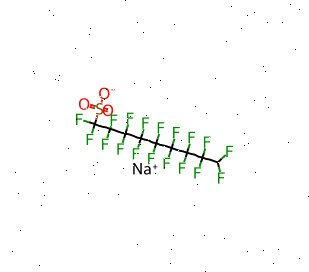 O=S(=O)([O-])C(F)(F)C(F)(F)C(F)(F)C(F)(F)C(F)(F)C(F)(F)C(F)(F)C(F)(F)C(F)F.[Na+]